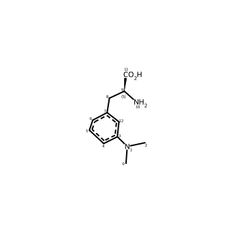 CN(C)c1cccc(C[C@H](N)C(=O)O)c1